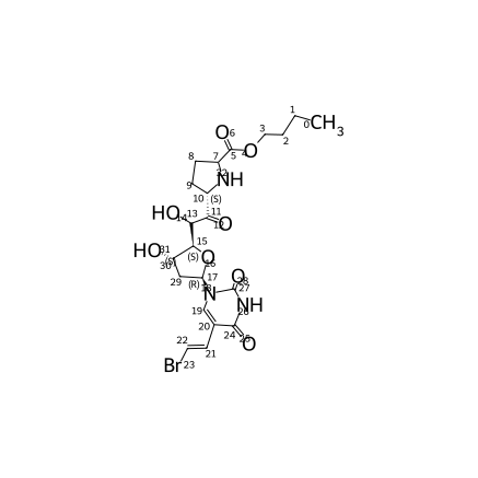 CCCCOC(=O)C1CC[C@@H](C(=O)C(O)[C@H]2O[C@@H](n3cc(C=CBr)c(=O)[nH]c3=O)C[C@@H]2O)N1